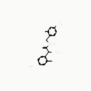 COc1ccc(C(OC)C(=O)NCc2ccc(C#N)cc2F)c(F)c1